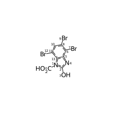 O=C(O)n1c(O)nc2c(Br)c(Br)cc(Br)c21